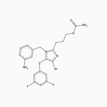 CC(C)c1nc(CCCOC(N)=O)n(Cc2cccc(N)c2)c1Sc1cc(F)cc(F)c1